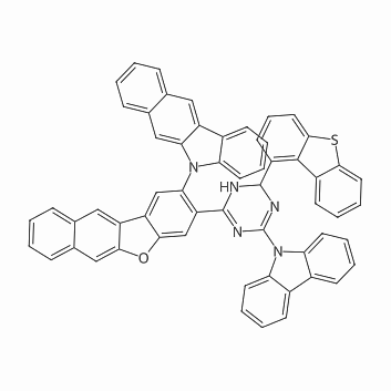 c1ccc2cc3c(cc2c1)oc1cc(C2=NC(n4c5ccccc5c5ccccc54)=NC(c4cccc5sc6ccccc6c45)N2)c(-n2c4ccccc4c4cc5ccccc5cc42)cc13